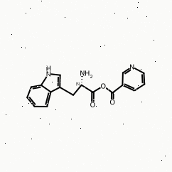 N[C@@H](Cc1c[nH]c2ccccc12)C(=O)OC(=O)c1cccnc1